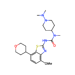 COc1ccc(C2CCOCC2)c2sc(NC(=O)N(C)C3CCN(N(C)C)CC3)nc12